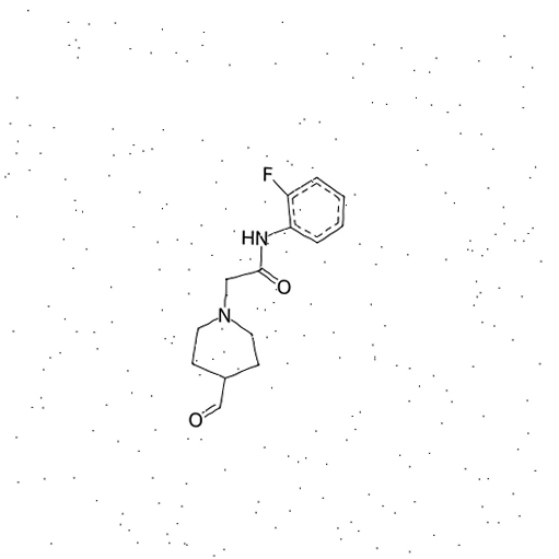 O=CC1CCN(CC(=O)Nc2ccccc2F)CC1